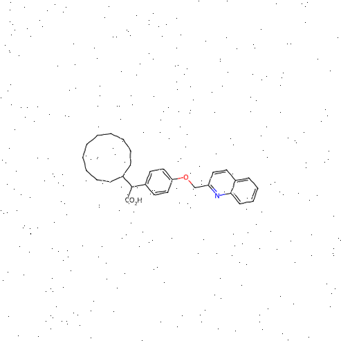 O=C(O)C(c1ccc(OCc2ccc3ccccc3n2)cc1)C1CCCCCCCCCC1